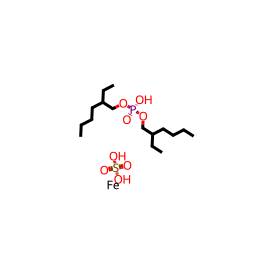 CCCCC(CC)COP(=O)(O)OCC(CC)CCCC.O=S(=O)(O)O.[Fe]